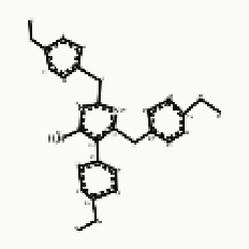 CCc1ccc(Cc2nc(N)c(-c3ccc(CC)cc3)c(Cc3ccc(CC)cc3)n2)cc1